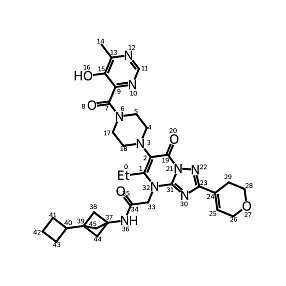 CCc1c(N2CCN(C(=O)c3ncnc(C)c3O)CC2)c(=O)n2nc(C3=CCOCC3)nc2n1CC(=O)NC12CC(C3CCC3)(C1)C2